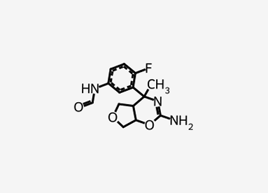 CC1(c2cc(NC=O)ccc2F)N=C(N)OC2COCC21